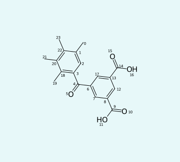 Cc1cc(C(=O)c2cc(C(=O)O)cc(C(=O)O)c2)c(C)c(C)c1C